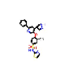 N#Cc1cc(S(=O)(=O)Nc2nccs2)ccc1Oc1cnc(-c2ccccc2)cc1-c1cn[nH]c1